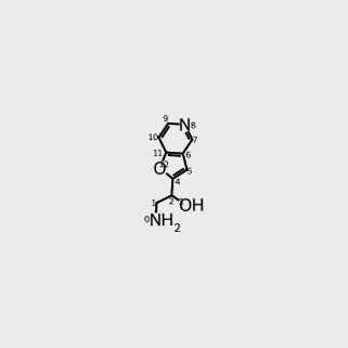 NCC(O)c1cc2cnccc2o1